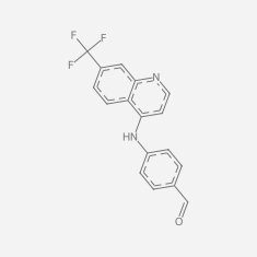 O=Cc1ccc(Nc2ccnc3cc(C(F)(F)F)ccc23)cc1